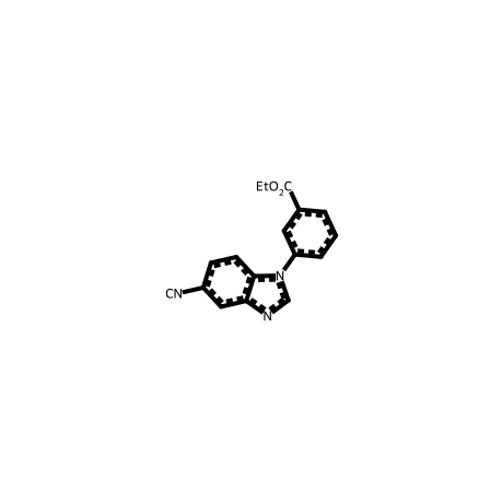 [C-]#[N+]c1ccc2c(c1)ncn2-c1cccc(C(=O)OCC)c1